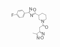 Cc1nonc1CC(=O)N1CCCC(c2nc(-c3ccc(F)cc3)no2)C1